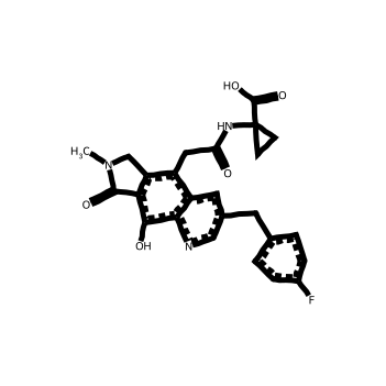 CN1Cc2c(c(O)c3ncc(Cc4ccc(F)cc4)cc3c2CC(=O)NC2(C(=O)O)CC2)C1=O